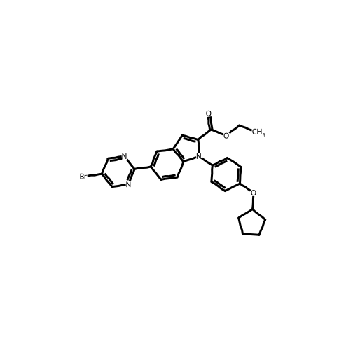 CCOC(=O)c1cc2cc(-c3ncc(Br)cn3)ccc2n1-c1ccc(OC2CCCC2)cc1